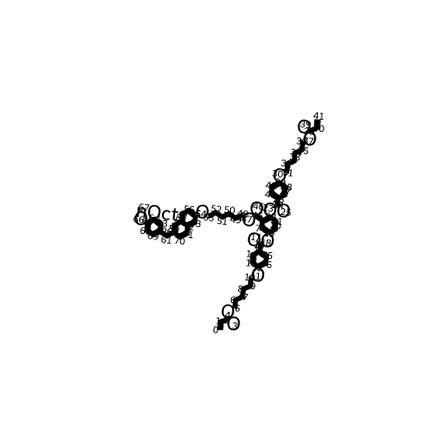 C=CC(=O)OCCCCCCOc1ccc(C(=O)Oc2ccc(OC(=O)c3ccc(OCCCCCCOC(=O)C=C)cc3)c(C(=O)OCCCCCCOc3ccc4cc(Cc5ccc(OCCCCCCCC)cc5)ccc4c3)c2)cc1